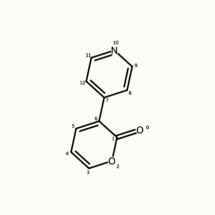 O=c1occcc1-c1ccncc1